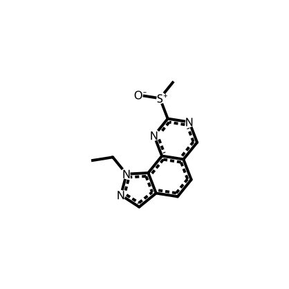 CCn1ncc2ccc3cnc([S+](C)[O-])nc3c21